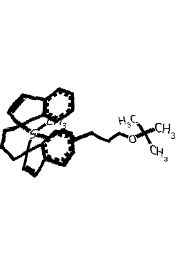 CC(C)(C)OCCCCCCS1(C)C2(C=Cc3ccccc32)CCCC12C=Cc1ccccc12